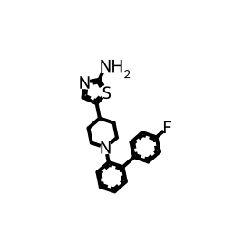 Nc1ncc(C2CCN(c3ccccc3-c3ccc(F)cc3)CC2)s1